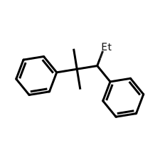 CCC(c1ccccc1)C(C)(C)c1ccccc1